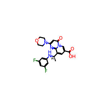 C[C@@H](Nc1cc(F)cc(F)c1)c1cc(C(=O)O)cn2c(=O)cc(N3CCOCC3)nc12